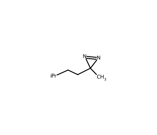 CC(C)CCC1(C)N=N1